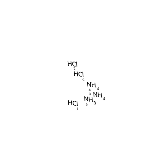 Cl.Cl.Cl.N.N.N